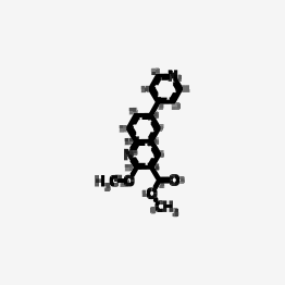 COC(=O)c1cc2cc(-c3ccncc3)ccc2nc1OC